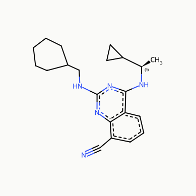 C[C@@H](Nc1nc(NCC2CCCCC2)nc2c(C#N)cccc12)C1CC1